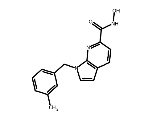 Cc1cccc(Cn2ccc3ccc(C(=O)NO)nc32)c1